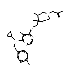 Cc1ccc(CN(c2ncnc(NCC3(C)CCN(CC(N)=O)CC3O)c2F)C2CC2)cc1